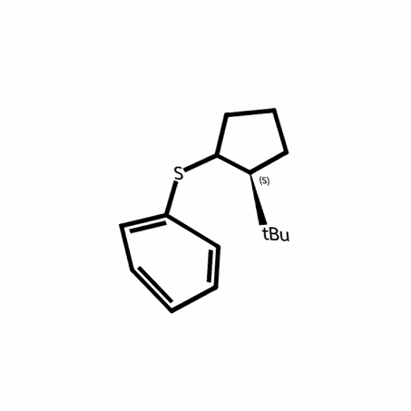 CC(C)(C)[C@@H]1CCCC1Sc1ccccc1